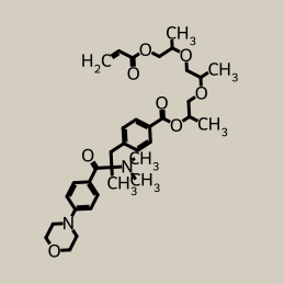 C=CC(=O)OCC(C)OCC(C)OCC(C)OC(=O)c1ccc(CC(C)(C(=O)c2ccc(N3CCOCC3)cc2)N(C)C)cc1